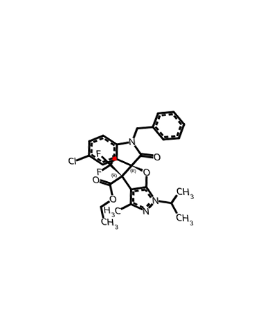 CCOC(=O)[C@@]1(C(F)(F)F)c2c(C)nn(C(C)C)c2O[C@@]12C(=O)N(Cc1ccccc1)c1ccc(Cl)cc12